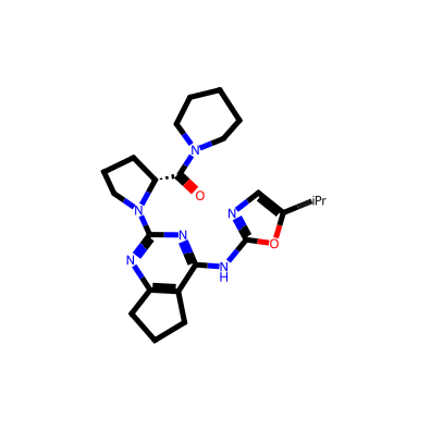 CC(C)c1cnc(Nc2nc(N3CCC[C@@H]3C(=O)N3CCCCC3)nc3c2CCC3)o1